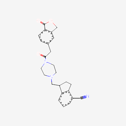 N#Cc1cccc2c1CCC2CN1CCN(C(=O)Cc2ccc3c(c2)COC3=O)CC1